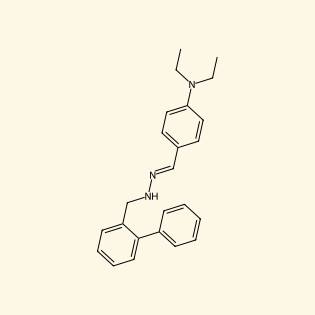 CCN(CC)c1ccc(/C=N/NCc2ccccc2-c2ccccc2)cc1